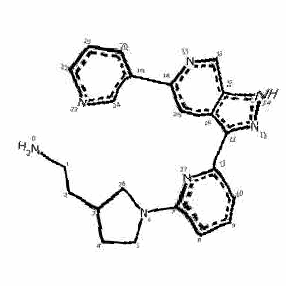 NCCC1CCN(c2cccc(-c3n[nH]c4cnc(-c5cccnc5)cc34)n2)C1